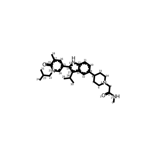 CNC(=O)CN1CCC(c2ccc3[nH]c(-c4cc(C)c(=O)n(CC(C)C)c4)c(C(C)C)c3c2)CC1